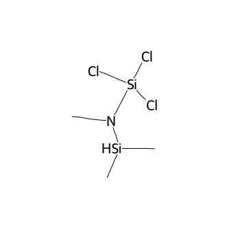 CN([SiH](C)C)[Si](Cl)(Cl)Cl